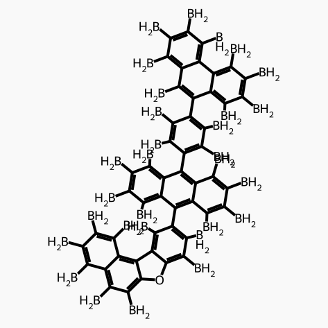 Bc1c(B)c(-c2c(B)c3c(B)c(B)c(B)c(B)c3c3c(B)c(B)c(B)c(B)c23)c(B)c(B)c1-c1c2c(B)c(B)c(B)c(B)c2c(-c2c(B)c(B)c3oc4c(B)c(B)c5c(B)c(B)c(B)c(B)c5c4c3c2B)c2c(B)c(B)c(B)c(B)c12